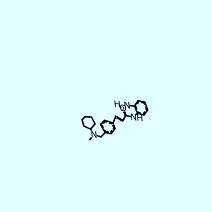 CN(Cc1ccc(/C=C/C(=O)Nc2ccccc2N)cc1)C1CCCCC1